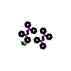 [Au+].[Br-].c1ccc(P(CCP(c2ccccc2)c2ccccc2)c2ccccc2)cc1.c1ccc(P(CCP(c2ccccc2)c2ccccc2)c2ccccc2)cc1